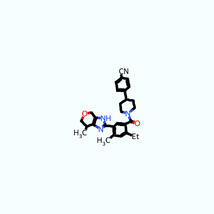 CCc1cc(C)c(-c2nc3c([nH]2)COCC3C)cc1C(=O)N1CCC(c2ccc(C#N)cc2)CC1